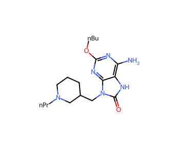 CCCCOc1nc(N)c2[nH]c(=O)n(CC3CCCN(CCC)C3)c2n1